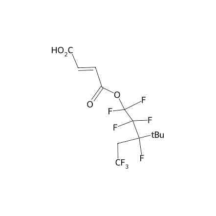 CC(C)(C)C(F)(CC(F)(F)F)C(F)(F)C(F)(F)OC(=O)C=CC(=O)O